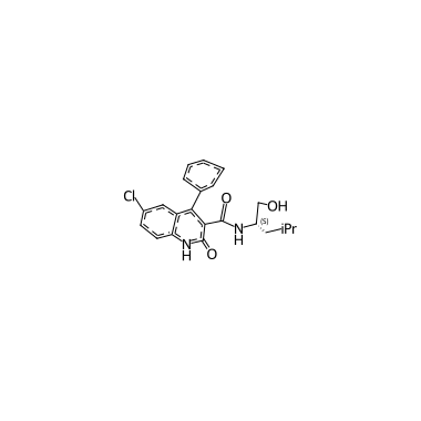 CC(C)C[C@@H](CO)NC(=O)c1c(-c2ccccc2)c2cc(Cl)ccc2[nH]c1=O